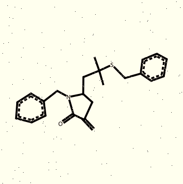 C=C1CC(CC(C)(C)SCc2ccccc2)N(Cc2ccccc2)C1=O